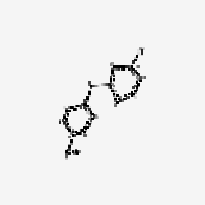 COc1ccc(Cc2cccc(Cl)c2)cc1